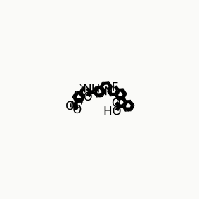 C[C@H](NC(=O)c1ccc2c(c1)CCCN2Cc1cc(C2=C(C(=O)O)C=CCC2)ccc1F)c1ccc([N+](=O)[O-])cc1